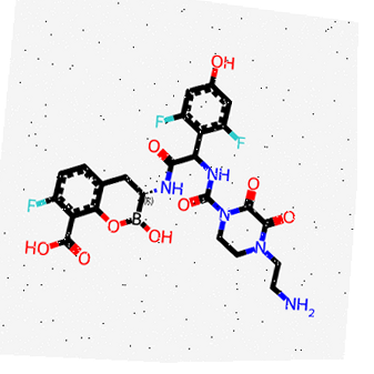 NCCN1CCN(C(=O)NC(C(=O)N[C@H]2Cc3ccc(F)c(C(=O)O)c3OB2O)c2c(F)cc(O)cc2F)C(=O)C1=O